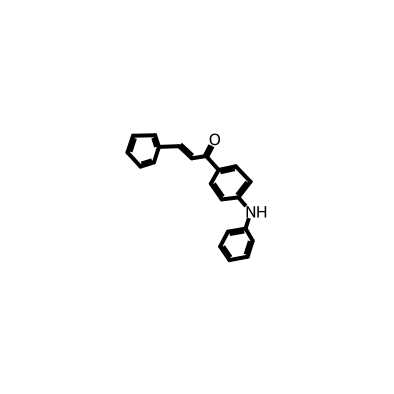 O=C(C=Cc1ccccc1)c1ccc(Nc2ccccc2)cc1